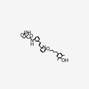 CCC(CC)(CC(=O)Nc1cccc(C=Cc2cccc(OCCCCc3cc(C)c(O)c(C)c3)n2)c1)C(=O)O